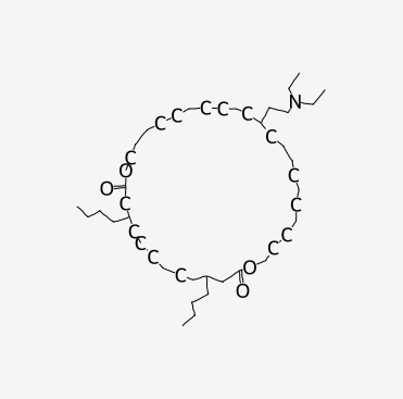 CCCCC1CCCCCCC(CCCC)CC(=O)OCCCCCCCCCCC(CCN(CC)CC)CCCCCCCCCCOC(=O)C1